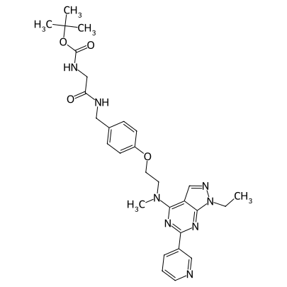 CCn1ncc2c(N(C)CCOc3ccc(CNC(=O)CNC(=O)OC(C)(C)C)cc3)nc(-c3cccnc3)nc21